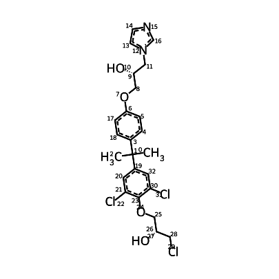 CC(C)(c1ccc(OC[C@H](O)Cn2ccnc2)cc1)c1cc(Cl)c(OC[C@@H](O)CCl)c(Cl)c1